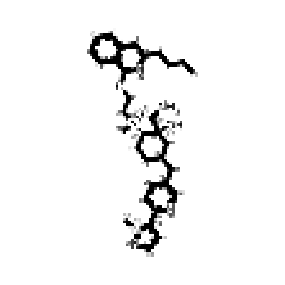 CCCCc1cc2ccccc2c(OCC[N+](C)(C)[C@H]2CCC(Cc3ccc(-c4ccnn4C)nc3)C[C@@]2(O)C(N)=O)n1